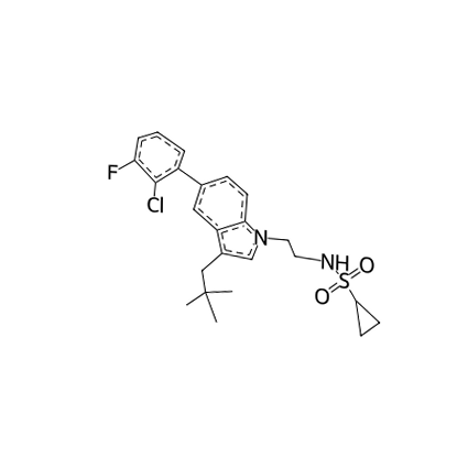 CC(C)(C)Cc1cn(CCNS(=O)(=O)C2CC2)c2ccc(-c3cccc(F)c3Cl)cc12